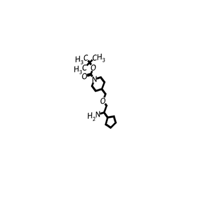 CC(C)(C)OC(=O)N1CCC(COCC(N)C2CCCC2)CC1